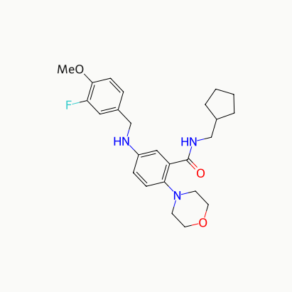 COc1ccc(CNc2ccc(N3CCOCC3)c(C(=O)NCC3CCCC3)c2)cc1F